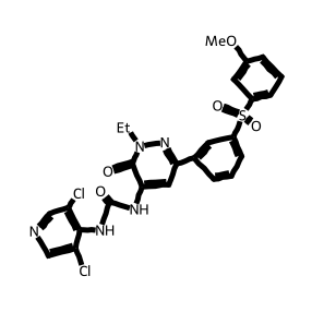 CCn1nc(-c2cccc(S(=O)(=O)c3cccc(OC)c3)c2)cc(NC(=O)Nc2c(Cl)cncc2Cl)c1=O